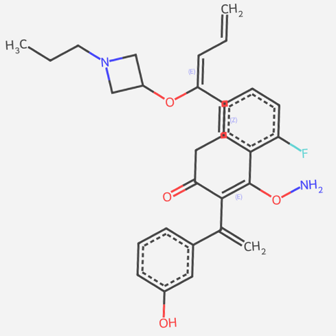 C=C/C=C(\C=C/CC(=O)/C(C(=C)c1cccc(O)c1)=C(/ON)c1ccccc1F)OC1CN(CCC)C1